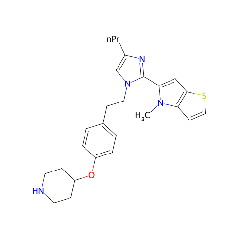 CCCc1cn(CCc2ccc(OC3CCNCC3)cc2)c(-c2cc3sccc3n2C)n1